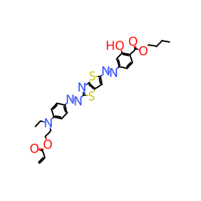 C=CC(=O)OCCN(CC)c1ccc(/N=N/c2nc3sc(/N=N/c4ccc(C(=O)OCCCC)c(O)c4)cc3s2)cc1